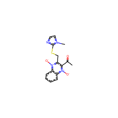 CC(=O)c1c(CSc2nccn2C)[n+]([O-])c2ccccc2[n+]1[O-]